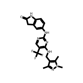 Cc1nn(C)c(C)c1CNc1nc(Nc2ccc3c(c2)CC(=O)N3)ncc1C(F)(F)F